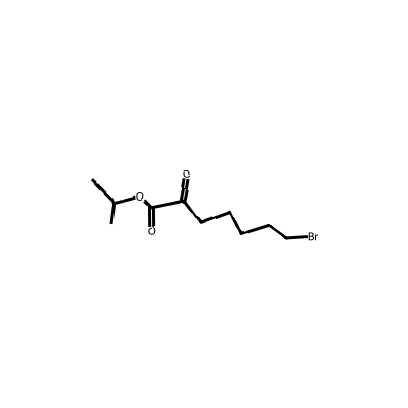 CC(C)OC(=O)C(=O)CCCCCBr